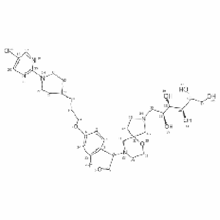 O=CC(c1ccc(OCCCC2CCN(c3ncc(Cl)cn3)CC2)cc1F)N1CCOC2(CCN(C[C@H](O)[C@@H](O)[C@H](O)[C@H](O)CO)C2)C1